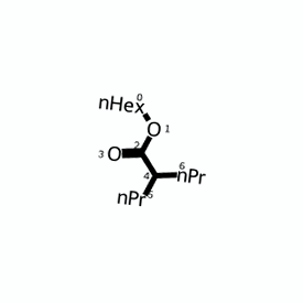 CCCCCCOC(=O)C(CCC)CCC